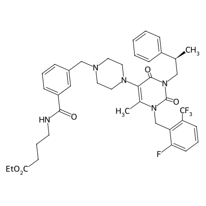 CCOC(=O)CCCNC(=O)c1cccc(CN2CCN(c3c(C)n(Cc4c(F)cccc4C(F)(F)F)c(=O)n(C[C@H](C)c4ccccc4)c3=O)CC2)c1